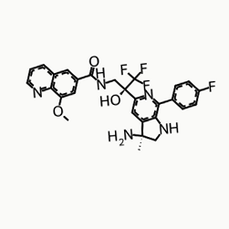 COc1cc(C(=O)NC[C@@](O)(c2cc3c(c(-c4ccc(F)cc4)n2)NC[C@@]3(C)N)C(F)(F)F)cc2cccnc12